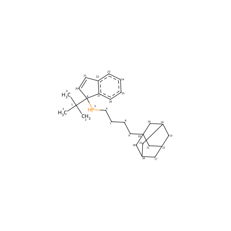 CC(C)(C)C1(PCCCCC23CC4CC(CC(C4)C2)C3)C=Cc2ccccc21